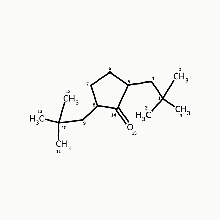 CC(C)(C)CC1CCC(CC(C)(C)C)C1=O